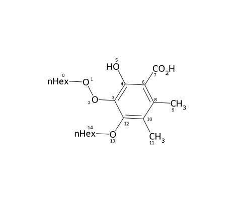 CCCCCCOOc1c(O)c(C(=O)O)c(C)c(C)c1OCCCCCC